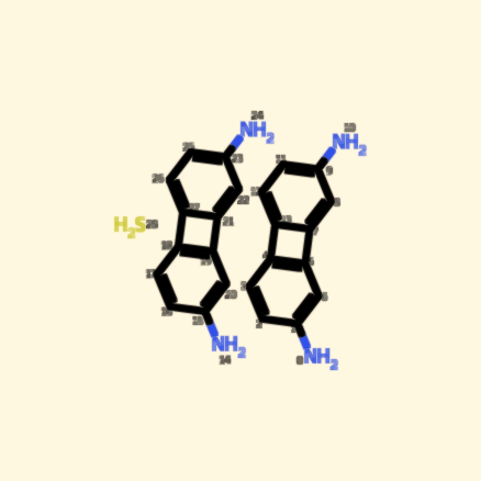 Nc1ccc2c(c1)-c1cc(N)ccc1-2.Nc1ccc2c(c1)-c1cc(N)ccc1-2.S